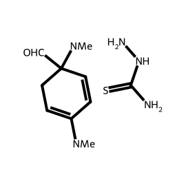 CNC1=CCC(C=O)(NC)C=C1.NNC(N)=S